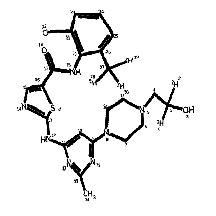 [2H]C([2H])(O)CN1CCN(c2cc(Nc3ncc(C(=O)Nc4c(Cl)cccc4C([2H])([2H])[2H])s3)nc(C)n2)CC1